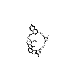 Cc1ccc2c3c(C)c(C(=O)O)n2CCCOc2cc(cc4cc(F)ccc24)SCc2cc(nn2C)CSCc2nn(C)c(C)c2-c13